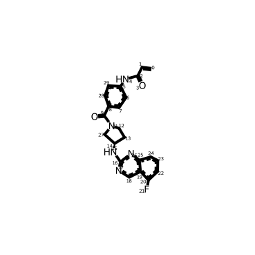 C=CC(=O)Nc1ccc(C(=O)N2CC[C@@H](Nc3ncc4c(F)cccc4n3)C2)cc1